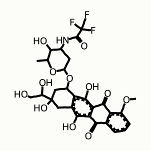 COc1cccc2c1C(=O)c1c(O)c3c(c(O)c1C2=O)CC(O)(C(O)CO)CC3OC1CC(NC(=O)C(F)(F)F)C(O)C(C)O1